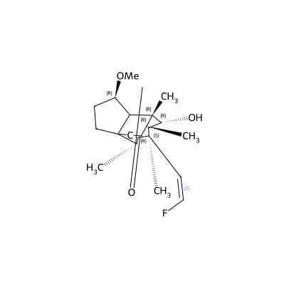 CO[C@@H]1CCC23CC[C@@H](C)[C@](C)(C12)[C@H](O)C[C@@](C)(/C=C\F)C(=O)[C@@H]3C